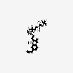 C=C(C)C(CCN(C)/N=N\[C@H](C)C(C)(C)CCNC(=O)OC(C)(C)C)Nc1cccc(CC#N)c1